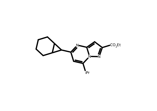 CCOC(=O)c1cc2nc(C3C4CCCCC43)cc(C(C)C)n2n1